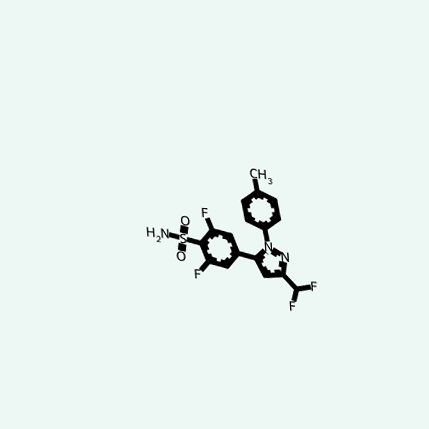 Cc1ccc(-n2nc(C(F)F)cc2-c2cc(F)c(S(N)(=O)=O)c(F)c2)cc1